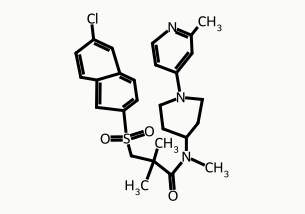 Cc1cc(N2CCC(N(C)C(=O)C(C)(C)CS(=O)(=O)c3ccc4cc(Cl)ccc4c3)CC2)ccn1